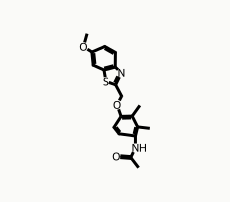 COc1ccc2nc(COc3ccc(NC(C)=O)c(C)c3C)sc2c1